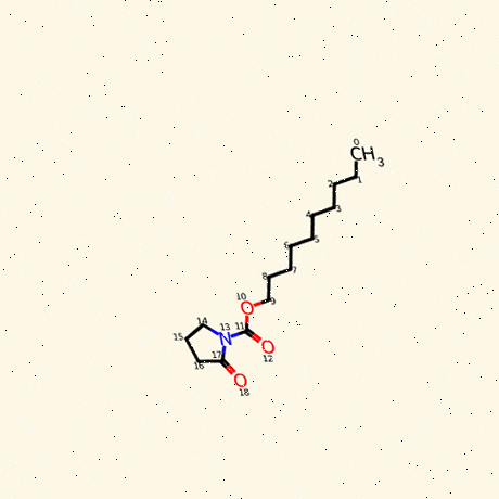 CCCCCCCCCCOC(=O)N1CCCC1=O